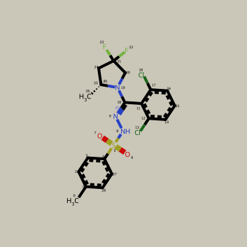 Cc1ccc(S(=O)(=O)N/N=C(\c2c(Cl)cccc2Cl)N2CC(F)(F)C[C@H]2C)cc1